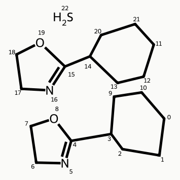 C1CCC(C2=NCCO2)CC1.C1CCC(C2=NCCO2)CC1.S